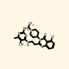 Cc1nc(N)nc(NCCc2nc3cccc(Cl)c3c(=O)n2C2CCN(CC(F)(F)F)CC2)c1C#N